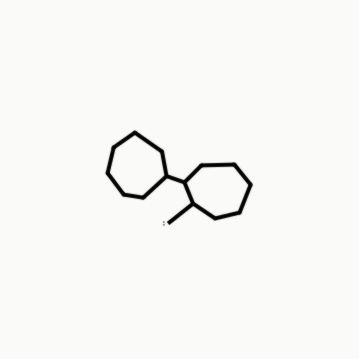 [CH]C1CCCCCC1C1CCCCCC1